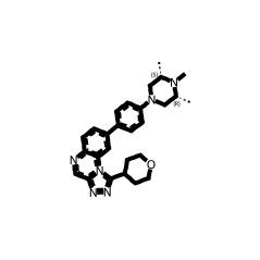 C[C@@H]1CN(c2ccc(-c3ccc4ncc5nnc(C6CCOCC6)n5c4c3)cc2)C[C@H](C)N1C